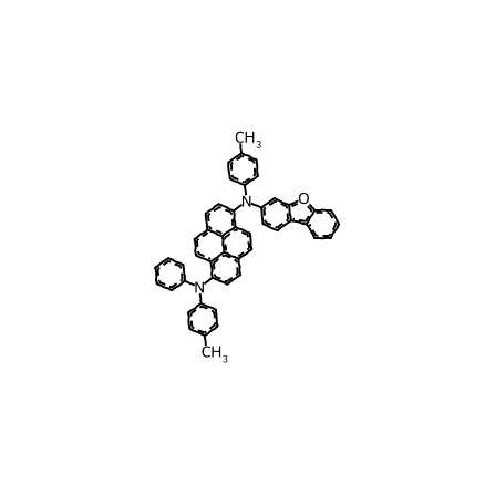 Cc1ccc(N(c2ccccc2)c2ccc3ccc4c(N(c5ccc(C)cc5)c5ccc6c(c5)oc5ccccc56)ccc5ccc2c3c54)cc1